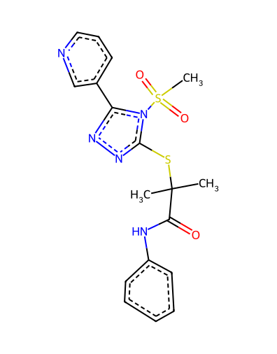 CC(C)(Sc1nnc(-c2cccnc2)n1S(C)(=O)=O)C(=O)Nc1ccccc1